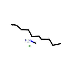 CCCCCCCCCC.CN.F